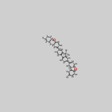 Cc1ccc2c(c1)Cc1cc(-c3ccc4c(c3)C(C)(C)c3cc(-c5ccc6oc7ccc(C)cc7c6c5)ccc3-4)ccc1O2